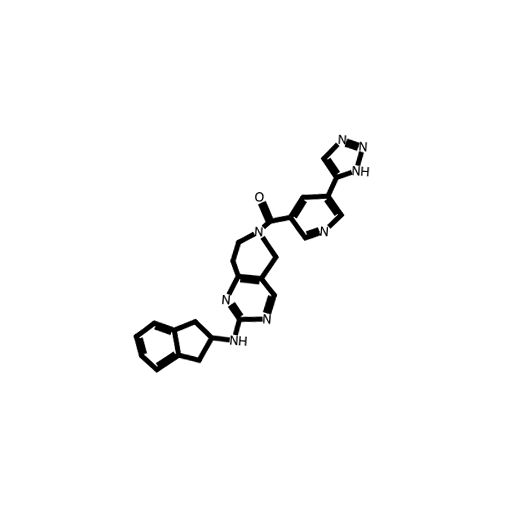 O=C(c1cncc(-c2cnn[nH]2)c1)N1CCc2nc(NC3Cc4ccccc4C3)ncc2C1